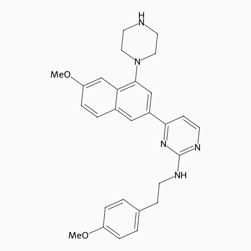 COc1ccc(CCNc2nccc(-c3cc(N4CCNCC4)c4cc(OC)ccc4c3)n2)cc1